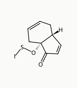 O=C1C=C[C@H]2CC=CC[C@]12OSI